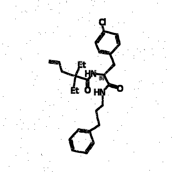 C=CCC(CC)(CC)C(=O)N[C@@H](Cc1ccc(Cl)cc1)C(=O)NCCCc1ccccc1